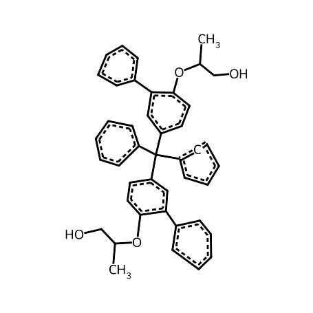 CC(CO)Oc1ccc(C(c2ccccc2)(c2ccccc2)c2ccc(OC(C)CO)c(-c3ccccc3)c2)cc1-c1ccccc1